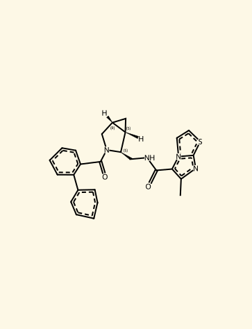 Cc1nc2sccn2c1C(=O)NC[C@@H]1[C@H]2C[C@H]2CN1C(=O)c1ccccc1-c1ccccc1